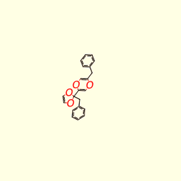 C1=COC(Cc2ccccc2)(C2=COC(Cc3ccccc3)=CO2)O1